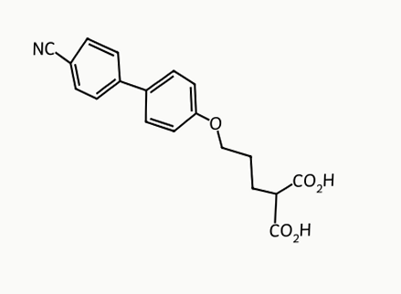 N#Cc1ccc(-c2ccc(OCCCC(C(=O)O)C(=O)O)cc2)cc1